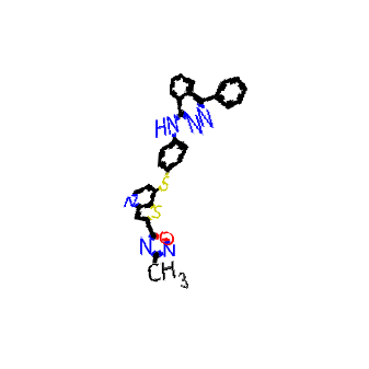 Cc1noc(-c2cc3nccc(Sc4ccc(Nc5nnc(-c6ccccc6)c6ccccc56)cc4)c3s2)n1